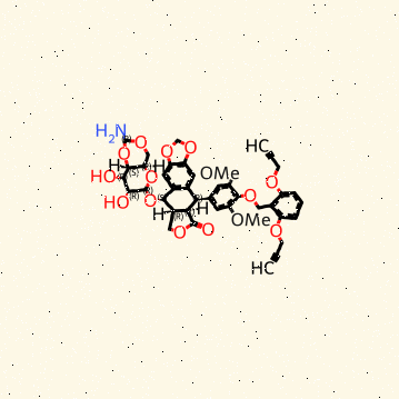 C#CCOc1cccc(OCC#C)c1COc1c(OC)cc([C@@H]2c3cc4c(cc3[C@@H](O[C@@H]3O[C@@H]5CO[C@@H](N)O[C@H]5[C@H](O)[C@H]3O)[C@H]3COC(=O)[C@H]23)OCO4)cc1OC